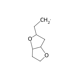 [CH2]CC1CC2OCCC2O1